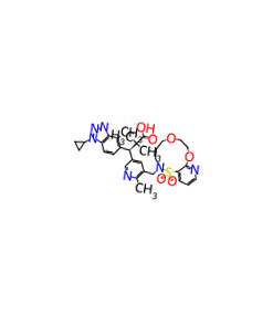 Cc1ncc([C@@H](c2ccc3c(nnn3C3CC3)c2C)C(C)(C)C(=O)O)cc1CN1CCCOCCOc2ncccc2S1(=O)=O